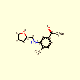 COC(=O)c1ccc([N+](=O)[O-])c(NC[C@H]2CCCO2)c1